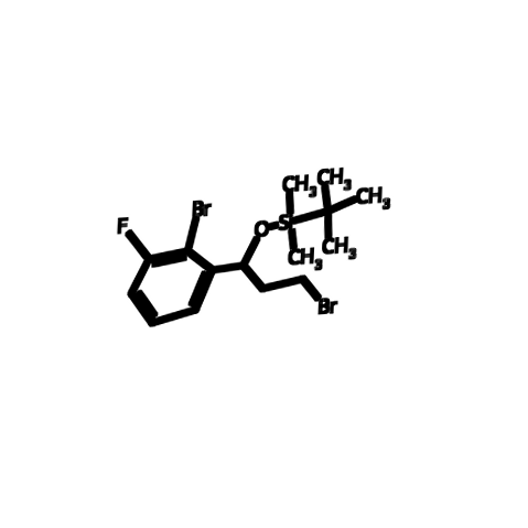 CC(C)(C)[Si](C)(C)OC(CCBr)c1cccc(F)c1Br